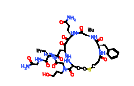 CC[C@H](C)[C@@H]1NC(=O)[C@H](Cc2ccccc2)NC(=O)CCSCC[C@@H](C(=O)N(CCCO)CC(=O)N[C@@H](CC(C)C)C(=O)NCC(N)=O)NN[C@@H](CC(N)=O)C(=O)C(=O)[C@H](CCC(N)=O)NC1=O